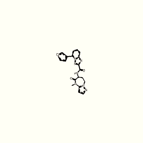 CN1C(=O)C(NC(=O)c2nc3cccc(-c4ccoc4)n3n2)CCn2nccc21